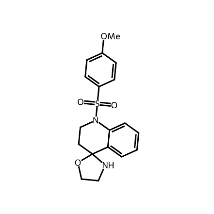 COc1ccc(S(=O)(=O)N2CCC3(NCCO3)c3ccccc32)cc1